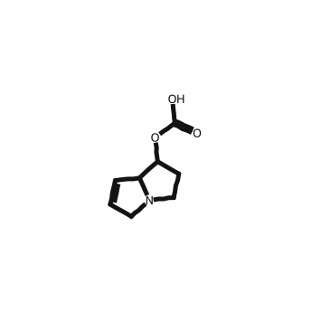 O=C(O)OC1CCN2CC=CC12